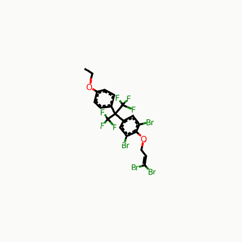 CCOc1ccc(C(c2cc(Br)c(OCC=C(Br)Br)c(Br)c2)(C(F)(F)F)C(F)(F)F)cc1